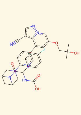 CC(C)(O)COc1cc(-c2ccc(N3CC4CC(C3)N4C(=O)C(NC(=O)O)c3ccc(F)cc3)nc2)c2c(C#N)cnn2c1